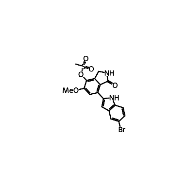 COc1cc(-c2cc3cc(Br)ccc3[nH]2)c2c(c1OS(C)(=O)=O)CNC2=O